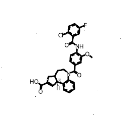 COc1cc(C(=O)N2CCC3CC(C(=O)O)=C[C@@H]3c3ccccc32)ccc1NC(=O)c1cc(F)ccc1Cl